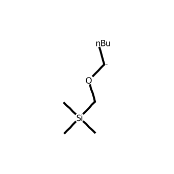 CCCC[CH]OC[Si](C)(C)C